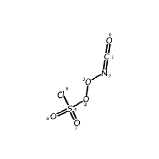 O=C=NOOS(=O)(=O)Cl